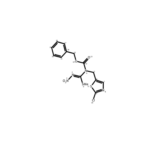 CSC(=N[N+](=O)[O-])N(Cc1cnc(Cl)s1)C(=O)OCc1ccccc1